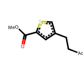 COC(=O)c1cc(CCC(C)=O)cs1